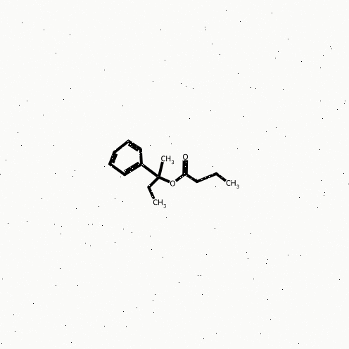 CCCC(=O)OC(C)(CC)c1ccccc1